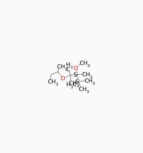 CCC(C)OC(C)(C)[Si](C)(OC)[Si](C)(C)C